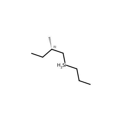 CCC[SiH2]C[C@@H](C)CC